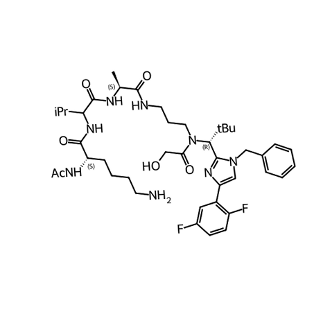 CC(=O)N[C@@H](CCCCN)C(=O)NC(C(=O)N[C@@H](C)C(=O)NCCCN(C(=O)CO)[C@@H](c1nc(-c2cc(F)ccc2F)cn1Cc1ccccc1)C(C)(C)C)C(C)C